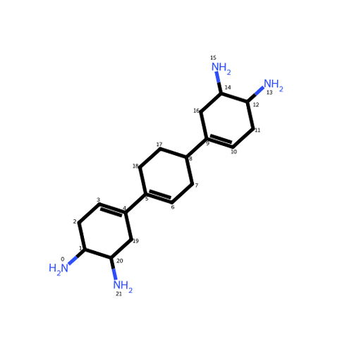 NC1CC=C(C2=CCC(C3=CCC(N)C(N)C3)CC2)CC1N